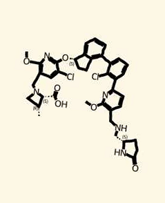 COc1nc(-c2cccc(-c3cccc4c3CC[C@@H]4Oc3nc(OC)c(CN4C[C@@H](C)[C@H]4C(=O)O)cc3Cl)c2Cl)ccc1CNC[C@@H]1CCC(=O)N1